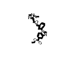 CCOC(=O)c1ccc2c(c1)ncn2-c1cccc(COCc2ncnn2C)c1